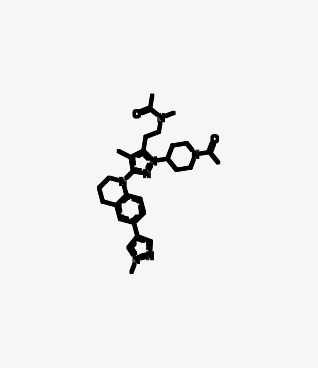 CC(=O)N(C)CCc1c(C)c(N2CCCc3cc(-c4cnn(C)c4)ccc32)nn1C1CCN(C(C)=O)CC1